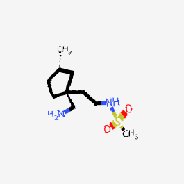 C[C@H]1CC[C@@](CN)(CCNS(C)(=O)=O)C1